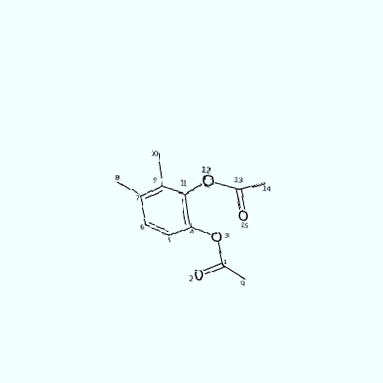 CC(=O)Oc1ccc(C)c(C)c1OC(C)=O